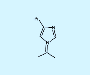 CC(C)=[N+]1C=NC(C(C)C)=C1